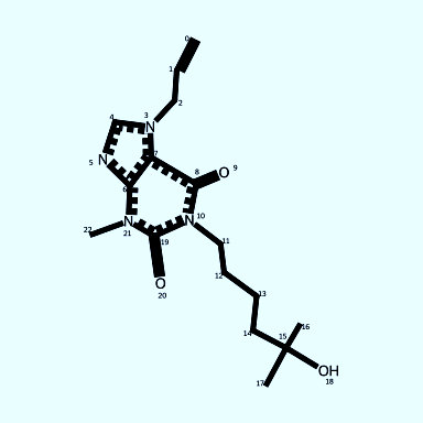 C=CCn1cnc2c1c(=O)n(CCCCC(C)(C)O)c(=O)n2C